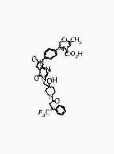 C[C@@H]1CN(C(=O)O)[C@@H](c2ccc(-n3c(Cl)cc4c(=O)n(CC5(O)CCN(C(=O)C[C@H](c6ccccc6)C(F)(F)F)CC5)cnc43)cc2)CO1